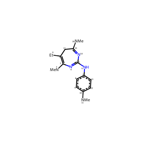 CCC1=C(NC)N=C(Nc2ccc(NC)cc2)N=C(NC)C1